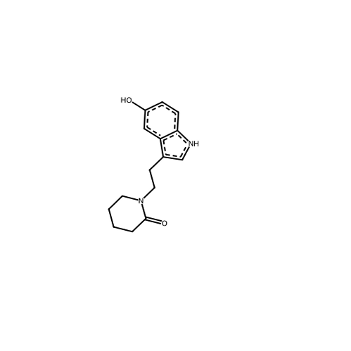 O=C1CCCCN1CCc1c[nH]c2ccc(O)cc12